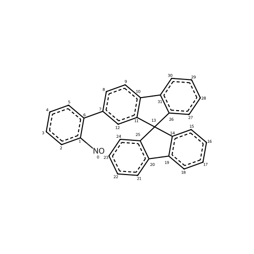 O=Nc1ccccc1-c1ccc2c(c1)C1(c3ccccc3-c3ccccc31)c1ccccc1-2